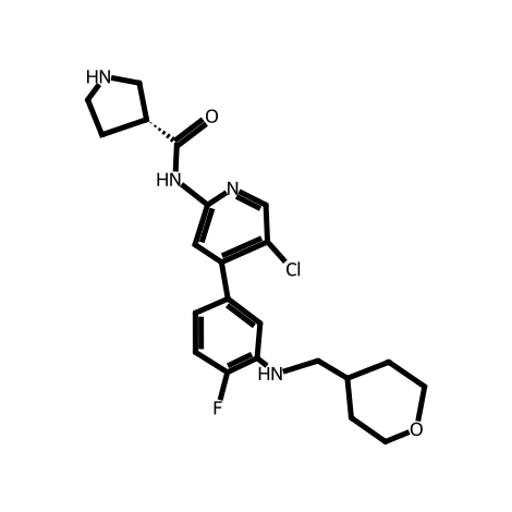 O=C(Nc1cc(-c2ccc(F)c(NCC3CCOCC3)c2)c(Cl)cn1)[C@@H]1CCNC1